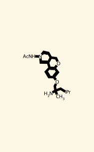 CC(=O)NN1C=CC2COc3cc(OCC(C)(N)CC(C)C)ccc3C2=C1